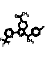 CC(=O)N1CCc2c(c(-c3cccc(C(F)(F)F)n3)nn2C(C)c2ccc(F)cc2)C1